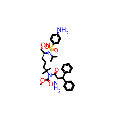 COC(=O)N(C(=O)[C@@H](N)C(c1ccccc1)c1ccccc1)C(C)(C)CCC[C@@H](CO)N(C(C)C)S(=O)(=O)c1ccc(N)cc1